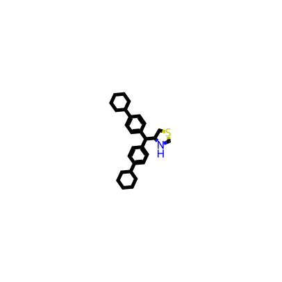 c1cc(C(c2ccc(C3CCCCC3)cc2)C2CSCN2)ccc1C1CCCCC1